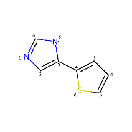 C1=NC=C(c2cccs2)[N]1